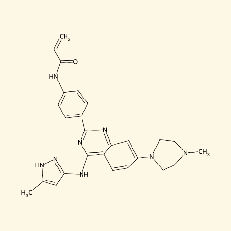 C=CC(=O)Nc1ccc(-c2nc(Nc3cc(C)[nH]n3)c3ccc(N4CCN(C)CC4)cc3n2)cc1